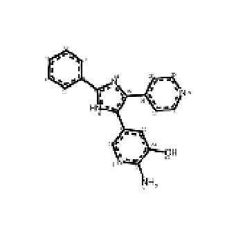 Nc1ncc(-c2[nH]c(-c3ccccc3)nc2-c2ccncc2)cc1O